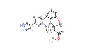 C[n+]1c2c3c(cccc3c3ccc(-c4cn[nH]c4)cc31)Oc1ccc(OC(F)(F)F)cc1-2